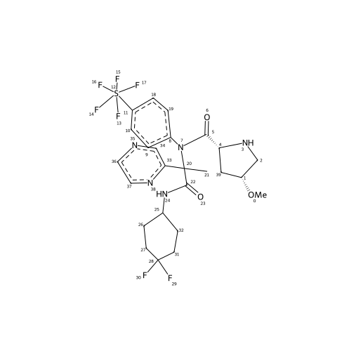 CO[C@H]1CN[C@@H](C(=O)N(c2ccc(S(F)(F)(F)(F)F)cc2)C(C)(C(=O)NC2CCC(F)(F)CC2)c2cnccn2)C1